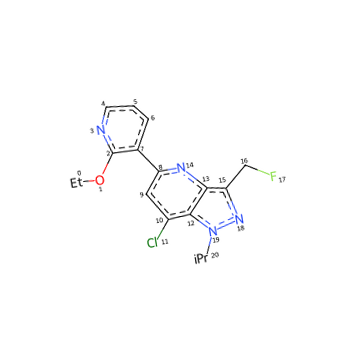 CCOc1ncccc1-c1cc(Cl)c2c(n1)c(CF)nn2C(C)C